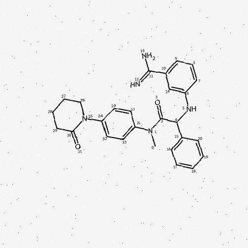 CN(C(=O)C(Nc1cccc(C(=N)N)c1)c1ccccc1)c1ccc(N2CCCCC2=O)cc1